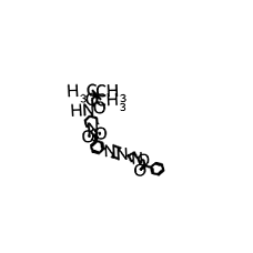 CC(C)(C)OC(=O)NC1CCN(S(=O)(=O)c2cccc(N3CCN(C4CN(OC(=O)c5ccccc5)C4)CC3)c2)CC1